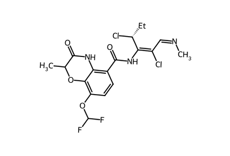 CC[C@@H](Cl)/C(NC(=O)c1ccc(OC(F)F)c2c1NC(=O)C(C)O2)=C(Cl)\C=N/C